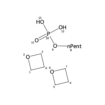 C1COC1.C1COC1.CCCCCOP(=O)(O)O